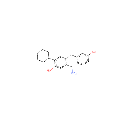 NCc1cc(O)c(C2CCCCC2)cc1Cc1cccc(O)c1